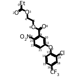 CCC(=O)OCCOC(=O)c1cc(Oc2ccc(C(F)(F)F)cc2Cl)ccc1[N+](=O)[O-]